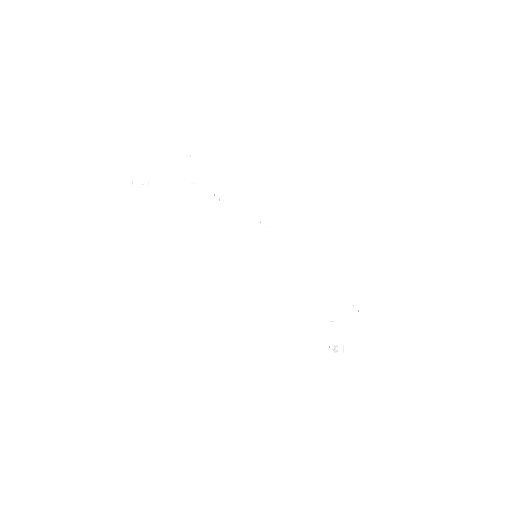 CC(C)(C)OC(=O)N1CCN(CCCSC(=N)N)CC1